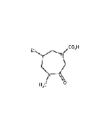 CCC1CN(C)C(=O)CN(C(=O)O)C1